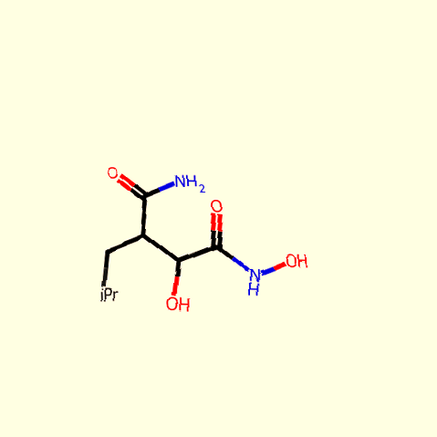 CC(C)CC(C(N)=O)C(O)C(=O)NO